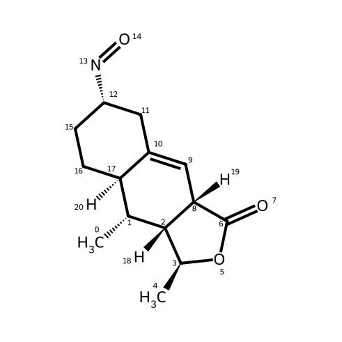 C[C@H]1[C@H]2[C@H](C)OC(=O)[C@H]2C=C2C[C@@H](N=O)CC[C@@H]21